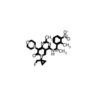 Cc1nc(N[C@H](C)c2cccc([N+](=O)[O-])c2C)c2cn(C3(CF)CC3)c(=O)c(N3CCOCC3)c2n1